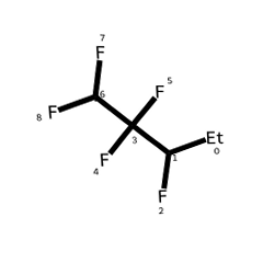 CCC(F)C(F)(F)[C](F)F